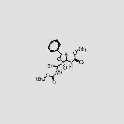 CC(C)(C)OC(=O)NC(Br)P(=O)(OCc1ccccc1)C(Br)NC(=O)OC(C)(C)C